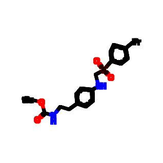 CC(C)c1ccc(S(=O)(=O)CNc2ccc(CCNC(=O)OC(C)(C)C)cc2)cc1